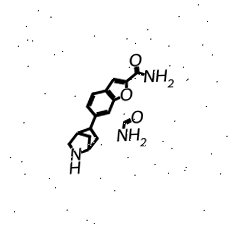 NC(=O)c1cc2ccc(C3CC4CC3CN4)cc2o1.NC=O